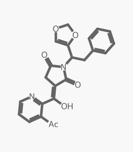 CC(=O)c1cccnc1C(O)=C1CC(=O)N(C(Cc2ccccc2)C2=COCO2)C1=O